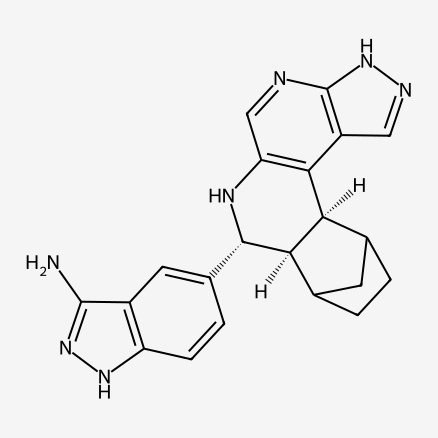 Nc1n[nH]c2ccc([C@@H]3Nc4cnc5[nH]ncc5c4[C@H]4C5CCC(C5)[C@@H]34)cc12